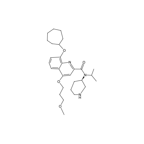 COCCCOc1cc(C(=O)N(C(C)C)[C@@H]2CCCNC2)nc2c(OC3CCCCCC3)cccc12